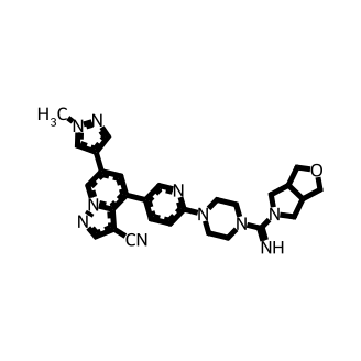 Cn1cc(-c2cc(-c3ccc(N4CCN(C(=N)N5CC6COCC6C5)CC4)nc3)c3c(C#N)cnn3c2)cn1